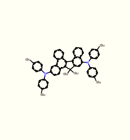 CC(C)(C)c1ccc(N(c2ccc(C(C)(C)C)cc2)c2ccc3c4c(c5ccccc5c3c2)-c2c(cc(N(c3ccc(C(C)(C)C)cc3)c3ccc(C(C)(C)C)cc3)c3ccccc23)C4(C(C)(C)C)C(C)(C)C)cc1